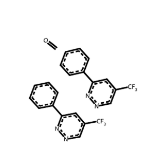 C=O.FC(F)(F)c1cnnc(-c2ccccc2)c1.FC(F)(F)c1cnnc(-c2ccccc2)c1